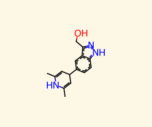 CC1=CC(c2ccc3[nH]nc(CO)c3c2)C=C(C)N1